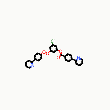 O=C(Oc1cc(Cl)cc(OOc2ccc(-c3ccccn3)cc2)c1)c1ccc(-c2ccccn2)cc1